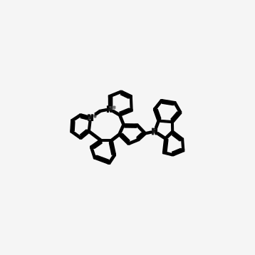 c1ccc2c(c1)-c1ccc(-n3c4ccccc4c4ccccc43)cc1-c1cccc[n+]1C[n+]1ccccc1-2